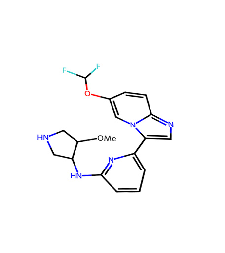 COC1CNCC1Nc1cccc(-c2cnc3ccc(OC(F)F)cn23)n1